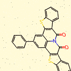 O=c1c2c3ccccc3sc2c2cc(-c3ccccc3)cc3c4sc5ccccc5c4c(=O)n1c23